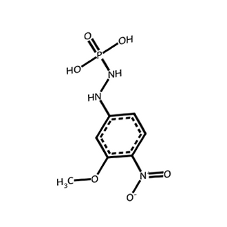 COc1cc(NNP(=O)(O)O)ccc1[N+](=O)[O-]